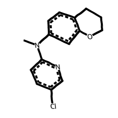 CN(c1ccc2c(c1)OCCC2)c1ccc(Cl)cn1